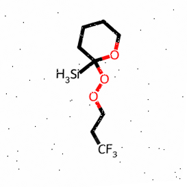 FC(F)(F)CCOOC1([SiH3])CCCCO1